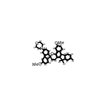 COc1ccc(C2(c3ccc(N4CCOCC4)cc3)C=Cc3c4c(c5ccc(OC)cc5c3O2)-c2ccc(C)cc2C4(C)C)cc1